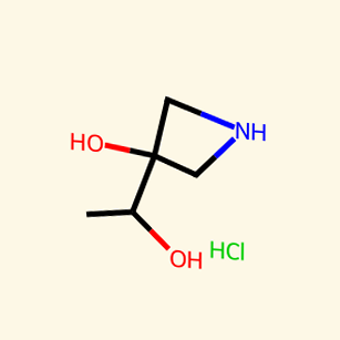 CC(O)C1(O)CNC1.Cl